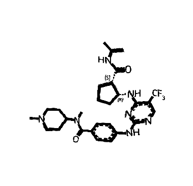 C=C(C)NC(=O)[C@H]1CCC[C@H]1Nc1nc(Nc2ccc(C(=O)N(C)C3CCN(C)CC3)cc2)ncc1C(F)(F)F